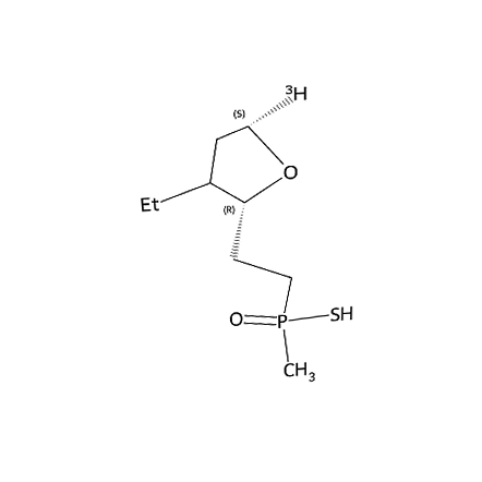 [3H][C@H]1CC(CC)[C@@H](CCP(C)(=O)S)O1